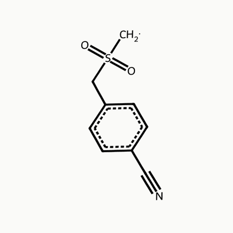 [CH2]S(=O)(=O)Cc1ccc(C#N)cc1